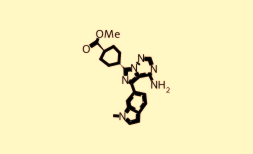 COC(=O)[C@H]1CC[C@H](c2nc(-c3ccc4ccn(C)c4c3)c3c(N)ncnn32)CC1